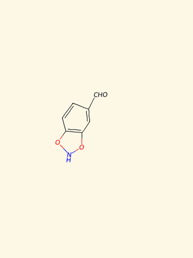 O=Cc1ccc2c(c1)ONO2